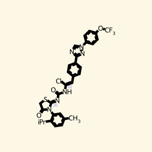 Cc1ccc(C(C)C)c(N2C(=O)CS/C2=N\C(=O)N/C(Cl)=C/c2ccc(-c3ncn(-c4ccc(OC(F)(F)F)cc4)n3)cc2)c1